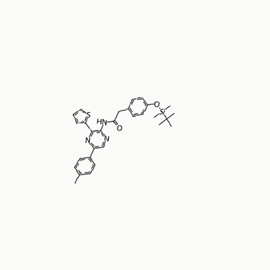 Cc1ccc(-c2cnc(NC(=O)Cc3ccc(O[Si](C)(C)C(C)(C)C)cc3)c(-c3cccs3)n2)cc1